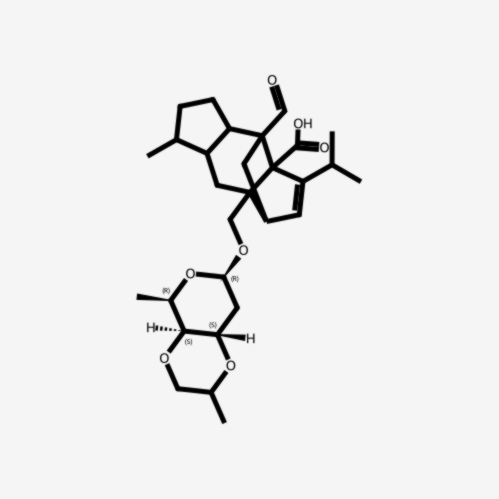 CC1CO[C@@H]2[C@H](C[C@H](OCC34CC5C(C)CCC5C5(C=O)CC3C=C(C(C)C)C54C(=O)O)O[C@@H]2C)O1